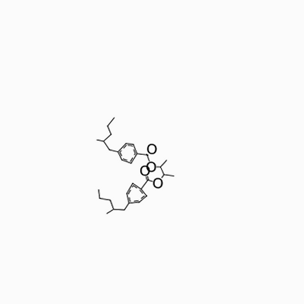 CCCC(C)Cc1ccc(C(=O)OC(C)C(C)OC(=O)c2ccc(CC(C)CCC)cc2)cc1